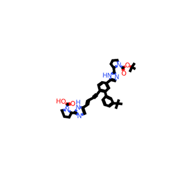 CC(C)(C)OC(=O)N1CCCC1c1ncc(-c2ccc(C#CC#Cc3cnc(C4CCCN4C(=O)O)[nH]3)c(-c3cccc(C(C)(C)C)c3)c2)[nH]1